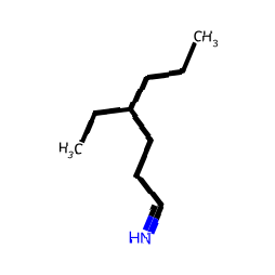 CCCC(CC)CCC=N